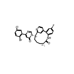 C[C@@H]1CCC[C@H](n2cnc(-c3cc(Cl)ccc3Br)cc2=O)c2cc(ccn2)-c2cc(F)ccc2NC1=O